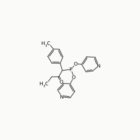 CCC(=O)C(c1ccc(C)cc1)P(Oc1ccncc1)Oc1ccncc1